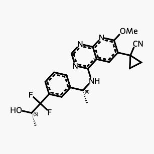 COc1nc2ncnc(N[C@H](C)c3cccc(C(F)(F)[C@H](C)O)c3)c2cc1C1(C#N)CC1